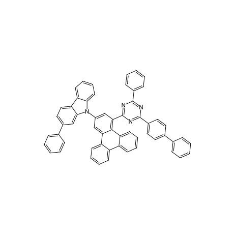 c1ccc(-c2ccc(-c3nc(-c4ccccc4)nc(-c4cc(-n5c6ccccc6c6ccc(-c7ccccc7)cc65)cc5c6ccccc6c6ccccc6c45)n3)cc2)cc1